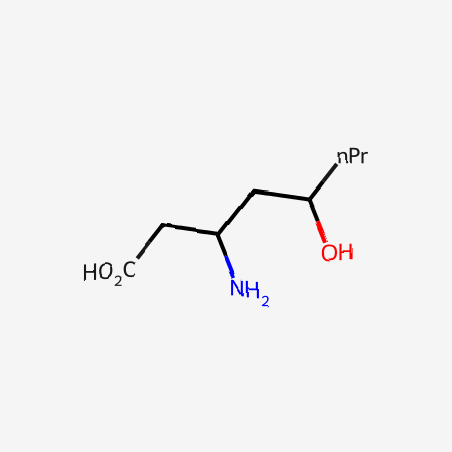 CCCC(O)CC(N)CC(=O)O